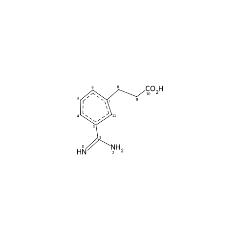 N=C(N)c1cccc(CCC(=O)O)c1